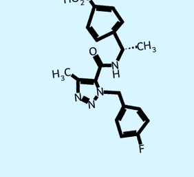 Cc1nnn(Cc2ccc(F)cc2)c1C(=O)N[C@@H](C)c1ccc(C(=O)O)cc1